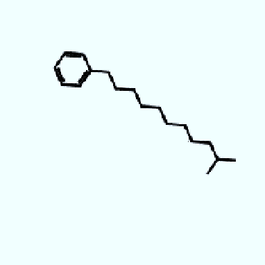 CC(C)C[CH]CCCCCCCc1ccccc1